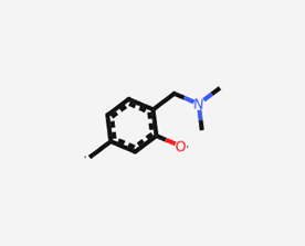 [CH2]c1ccc(CN(C)C)c([O])c1